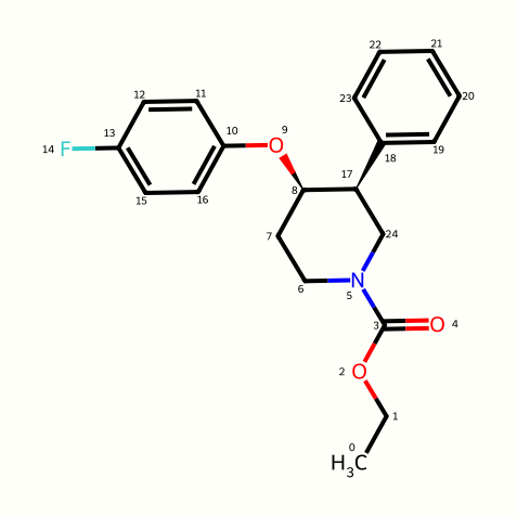 CCOC(=O)N1CC[C@@H](Oc2ccc(F)cc2)[C@@H](c2ccccc2)C1